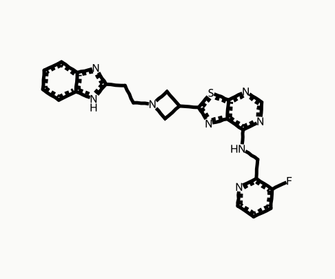 Fc1cccnc1CNc1ncnc2sc(C3CN(CCc4nc5ccccc5[nH]4)C3)nc12